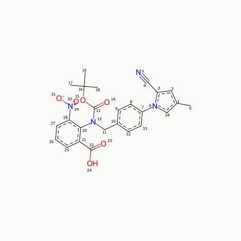 Cc1cc(C#N)n(-c2ccc(CN(C(=O)OC(C)(C)C)c3c(C(=O)O)cccc3[N+](=O)[O-])cc2)c1